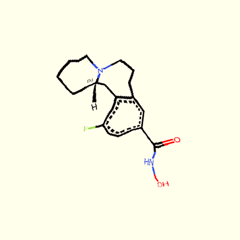 O=C(NO)c1cc(F)c2c(c1)CCN1CCCC[C@@H]21